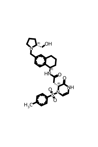 Cc1ccc(S(=O)(=O)N2C=CNC(=O)[C@H]2CC(=O)N[C@@H]2CCCc3cc(CN4CCC[C@@H]4CO)ccc32)cc1